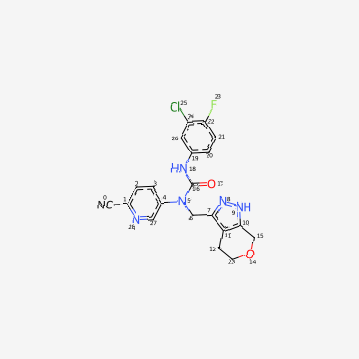 N#Cc1ccc(N(Cc2n[nH]c3c2CCOC3)C(=O)Nc2ccc(F)c(Cl)c2)cn1